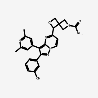 Cc1cc(-c2c(-c3cccc(C#N)c3)nn3ccc(C4OCC45CN(C(N)=O)C5)nc23)cc(C)n1